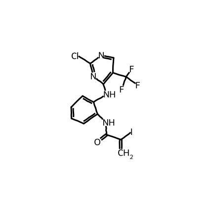 C=C(I)C(=O)Nc1ccccc1Nc1nc(Cl)ncc1C(F)(F)F